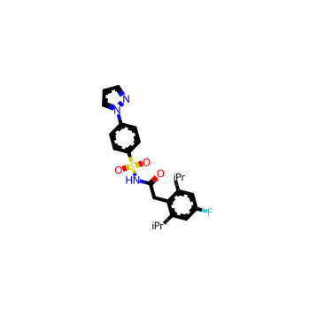 CC(C)c1cc(F)cc(C(C)C)c1CC(=O)NS(=O)(=O)c1ccc(-n2cccn2)cc1